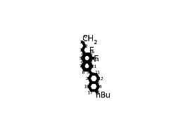 C=CCCc1cc2ccc(C3CCC4CC(CCCC)CCC4C3)cc2c(F)c1F